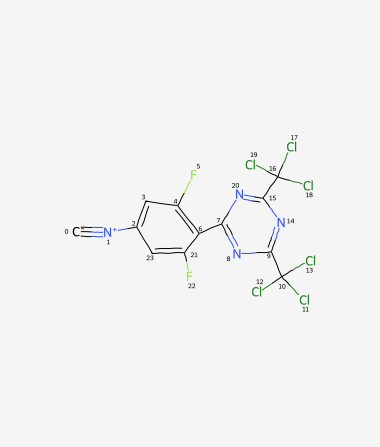 [C-]#[N+]c1cc(F)c(-c2nc(C(Cl)(Cl)Cl)nc(C(Cl)(Cl)Cl)n2)c(F)c1